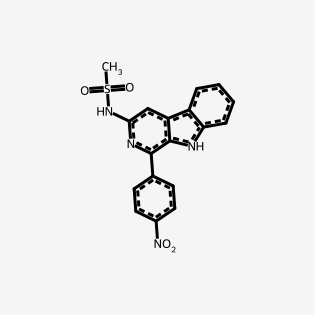 CS(=O)(=O)Nc1cc2c([nH]c3ccccc32)c(-c2ccc([N+](=O)[O-])cc2)n1